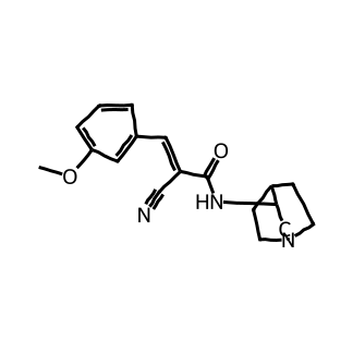 COc1cccc(C=C(C#N)C(=O)NC2CN3CCC2CC3)c1